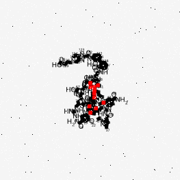 CCn1nc(C)cc1C(=O)Nc1nc2cc(C(N)=O)cc(OC)c2n1C/C=C/Cn1c(NC(=O)c2cc(C)nn2CC)nc2cc(C(N)=O)cc(OCCCNC(=O)[C@H](CC(=O)O)NC(=O)[C@H](CC(=O)O)NC(=O)[C@H](CCCNC(=N)N)NC(=O)[C@H](CC(=O)O)NC(=O)CCCN3CCc4[nH]c(C(=O)Nc5cccc(-c6cccc(NC(=O)c7nc8c(n7C)CCN(CCCC(=O)O)C8)c6Cl)c5Cl)nc4C3C)c21